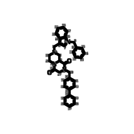 O=C1C2CN(Cc3cn(Cc4ccccc4)c4ccccc34)CCN2C(=O)CN1Cc1ccc(-c2ccccc2)cc1